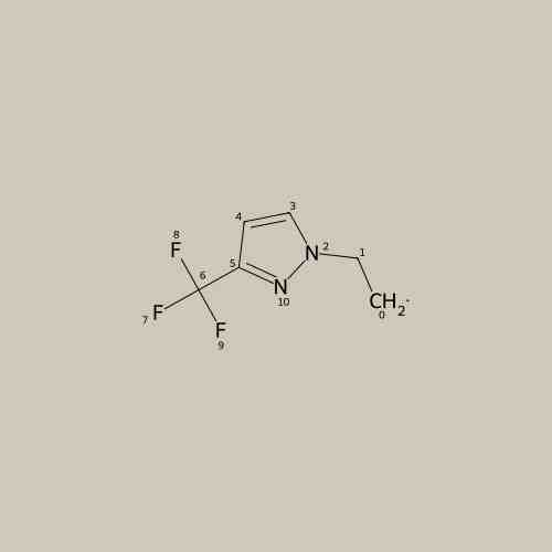 [CH2]Cn1ccc(C(F)(F)F)n1